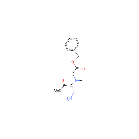 COC(=O)[C@@H](CN)N(C)CC(=O)OCc1ccccc1